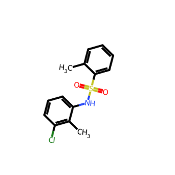 Cc1ccccc1S(=O)(=O)Nc1cccc(Cl)c1C